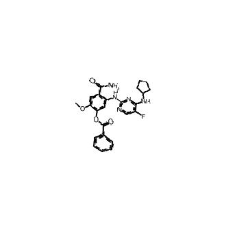 COc1cc(C(N)=O)c(Nc2ncc(F)c(NC3CCCC3)n2)cc1OC(=O)c1ccccc1